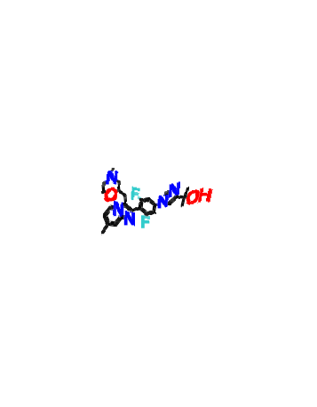 Cc1ccn2c(CC3CN(C)CCO3)c(-c3c(F)cc(-n4cnc(C(C)(C)O)c4)cc3F)nc2c1